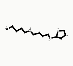 N#CCCCCOCCCCOC1CCCO1